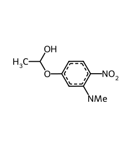 CNc1cc(OC(C)O)ccc1[N+](=O)[O-]